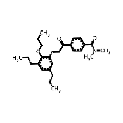 CCCOc1c(C=CC(=O)c2ccc(C(=O)N(C)C)cc2)cc(CCC)cc1CCC